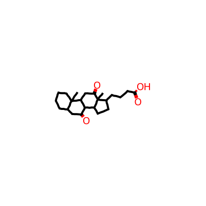 CC12CCCCC1CC(=O)C1C2CC(=O)C2(C)C(CCCC(=O)O)CCC12